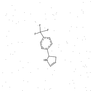 FC(F)(F)c1ccc(C2CC=CN2)cc1